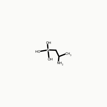 CC(N)C[Si](O)(O)O